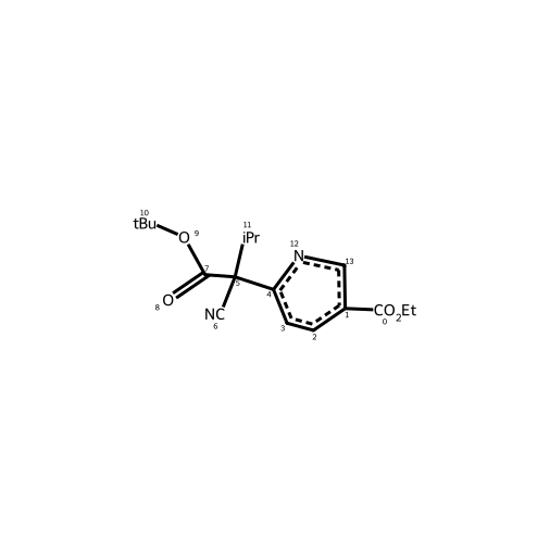 CCOC(=O)c1ccc(C(C#N)(C(=O)OC(C)(C)C)C(C)C)nc1